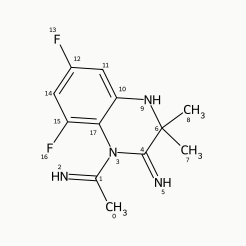 CC(=N)N1C(=N)C(C)(C)Nc2cc(F)cc(F)c21